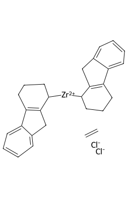 C=C.[Cl-].[Cl-].c1ccc2c(c1)CC1=C2CCC[CH]1[Zr+2][CH]1CCCC2=C1Cc1ccccc12